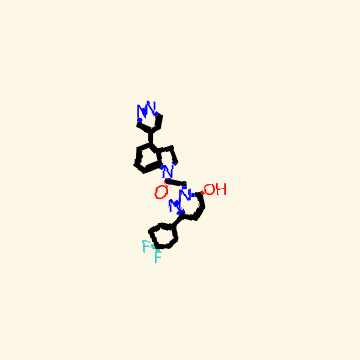 O=C(CN1N=C(C2=CCC(F)(F)CC2)C=CC1O)N1CCc2c(-c3ccnnc3)cccc21